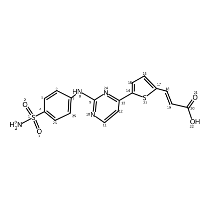 NS(=O)(=O)c1ccc(Nc2nccc(-c3ccc(C=CC(=O)O)s3)n2)cc1